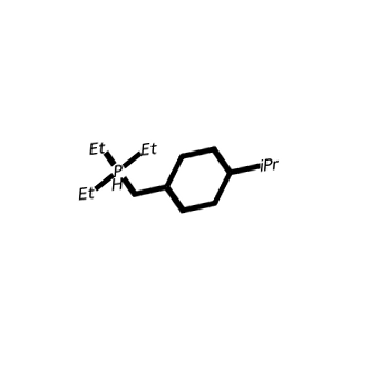 CC[PH](CC)(CC)CC1CCC(C(C)C)CC1